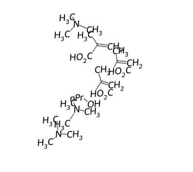 C=C(C)C(=O)O.C=C(C)C(=O)O.C=C(C)C(=O)O.CCCO.CN(C)C.CN(C)C.CN(C)C